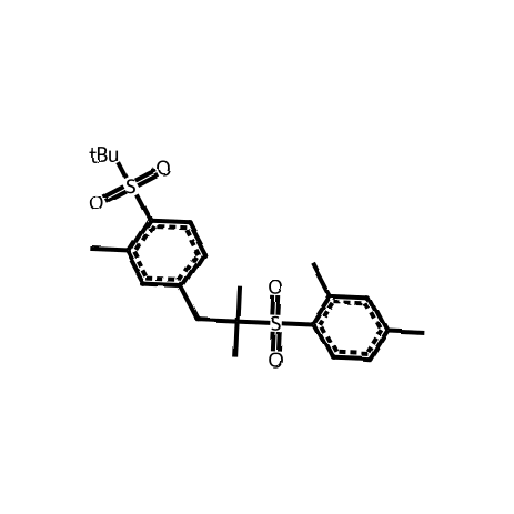 Cc1ccc(S(=O)(=O)C(C)(C)Cc2ccc(S(=O)(=O)C(C)(C)C)c(C)c2)c(C)c1